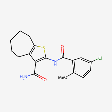 COc1ccc(Cl)cc1C(=O)Nc1sc2c(c1C(N)=O)CCCCC2